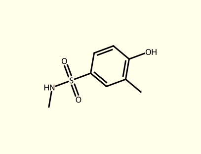 CNS(=O)(=O)c1ccc(O)c(C)c1